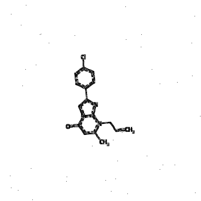 C=CCn1c(C)cc(=O)n2cc(-c3ccc(Cl)cc3)nc12